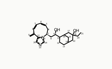 C=C1/C=C\C=C/C[C@@H](C[C@@H](O)C2CCC3CC2CC(O)(CC)C3)n2cncc21